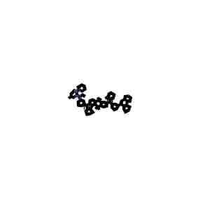 C=C/C(=C1/CC(C)C=C/C1=C1\C=CC=CC1)c1cccc(-n2c3ccccc3c3c4c(ccc32)C(C)(C)c2cc(N(c3cccc(-c5cc6ccccc6c6ccccc56)c3)c3ccccc3C)ccc2C4(C)C)c1